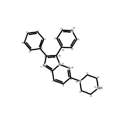 c1ccc(-c2nc3ccc(N4CCNCC4)nn3c2-c2ccncc2)cc1